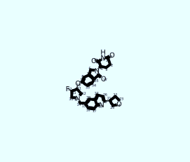 O=C1CCC(N2Cc3cc(O[C@@H]4CN(Cc5ccc6nc([C@H]7CCOC7)ccc6c5)C[C@@H]4F)ccc3C2=O)C(=O)N1